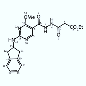 CCOC(=O)CC(=O)NNC(=O)c1cnc(NC2Cc3ccccc3C2)nc1OC